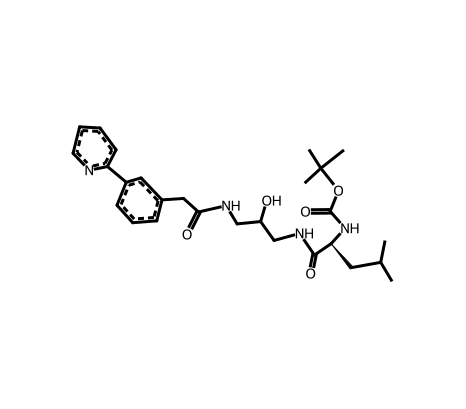 CC(C)C[C@H](NC(=O)OC(C)(C)C)C(=O)NCC(O)CNC(=O)Cc1cccc(-c2ccccn2)c1